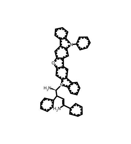 N/C(=C\C(c1ccccc1)[C@@H](N)n1c2ccccc2c2cc3c(cc21)oc1cc2c4ccccc4n(-c4ccccc4)c2cc13)c1ccccc1